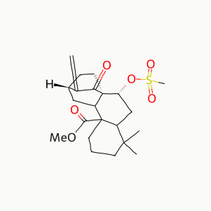 C=C1C(=O)[C@]23CC[C@H]1CC2C1(C(=O)OC)CCCC(C)(C)C1C[C@H]3OS(C)(=O)=O